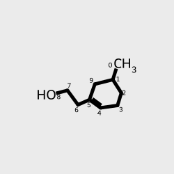 CC1CCC=C(CCO)C1